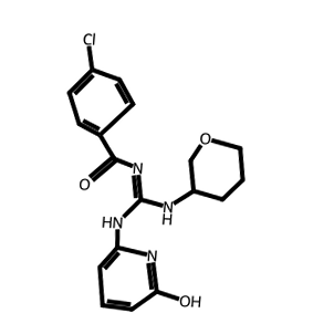 O=C(/N=C(\Nc1cccc(O)n1)NC1CCCOC1)c1ccc(Cl)cc1